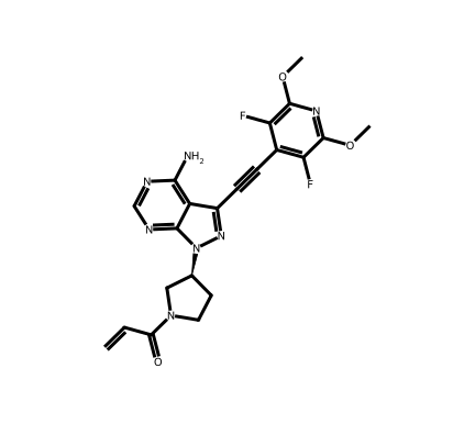 C=CC(=O)N1CC[C@H](n2nc(C#Cc3c(F)c(OC)nc(OC)c3F)c3c(N)ncnc32)C1